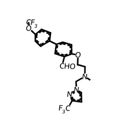 CN(CCOc1ccc(-c2ccc(OC(F)(F)F)cc2)cc1C=O)Cn1ccc(C(F)(F)F)n1